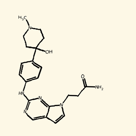 CN1CCC(O)(c2ccc(Nc3ncc4ccn(CCC(N)=O)c4n3)cc2)CC1